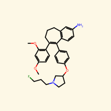 COc1ccc(C2=C(c3ccc(OC4CCN(CCCF)C4)cc3)c3ccc(N)cc3CCC2)c(OC)c1